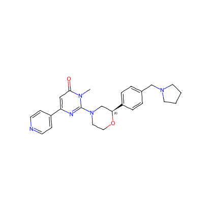 Cn1c(N2CCO[C@H](c3ccc(CN4CCCC4)cc3)C2)nc(-c2ccncc2)cc1=O